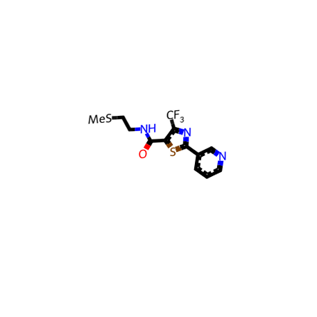 CSCCNC(=O)c1sc(-c2cccnc2)nc1C(F)(F)F